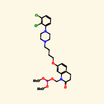 COOP(OCN1C(=O)CCc2ccc(OCCCCN3CCN(c4cccc(Cl)c4Cl)CC3)cc21)OOC